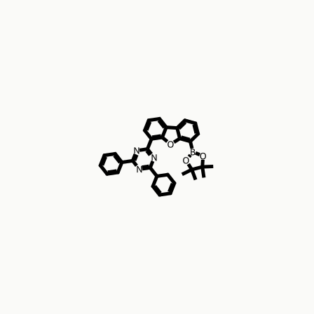 CC1(C)OB(c2cccc3c2oc2c(-c4nc(-c5ccccc5)nc(C5C=CC=CC5)n4)cccc23)OC1(C)C